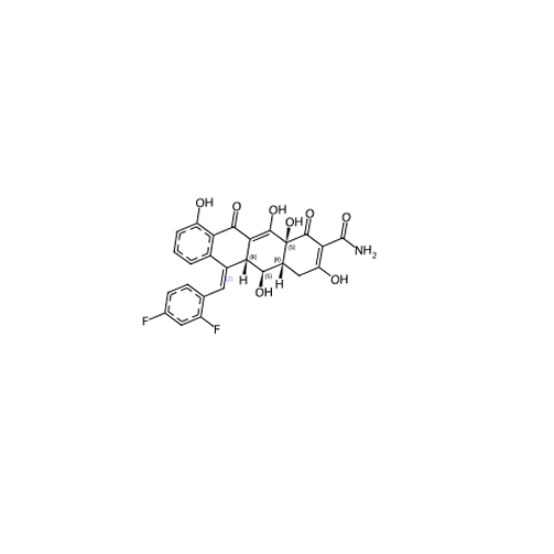 NC(=O)C1=C(O)C[C@@H]2[C@@H](O)[C@H]3C(=C(O)[C@]2(O)C1=O)C(=O)c1c(O)cccc1/C3=C\c1ccc(F)cc1F